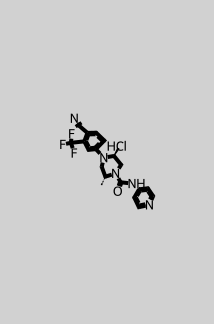 C[C@@H]1CN(c2ccc(C#N)c(C(F)(F)F)c2)[C@@H](C)CN1C(=O)Nc1ccncc1.Cl